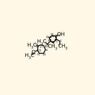 CCc1cc(C(C)(C)[C@@H]2CCCC(OC)C(C)C2)ccc1O